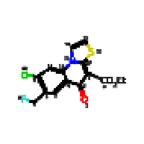 CCOC(=O)c1c(=O)c2cc(CF)c(Cl)cc2n2ccsc12